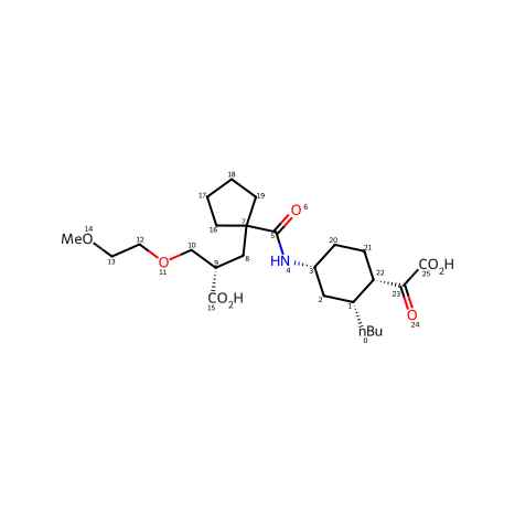 CCCC[C@@H]1C[C@H](NC(=O)C2(C[C@@H](COCCOC)C(=O)O)CCCC2)CC[C@@H]1C(=O)C(=O)O